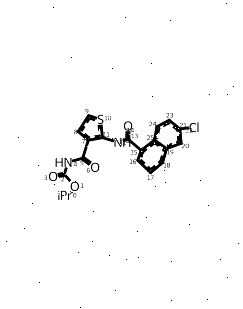 CC(C)OC(=O)NC(=O)c1ccsc1NC(=O)c1cccc2cc(Cl)ccc12